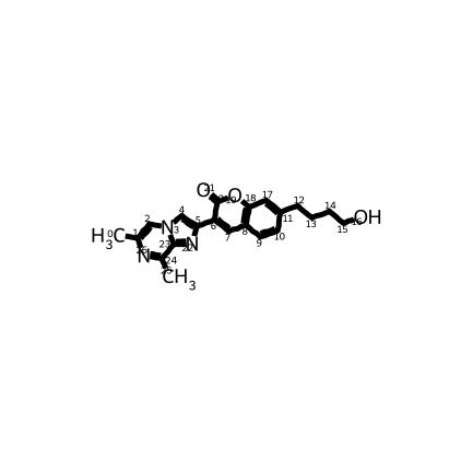 Cc1cn2cc(-c3cc4ccc(CCCCO)cc4oc3=O)nc2c(C)n1